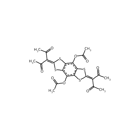 CC(=O)Oc1c2c(c(OC(C)=O)c3c1SC(=C(C(C)=O)C(C)=O)S3)SC(=C(C(C)=O)C(C)=O)S2